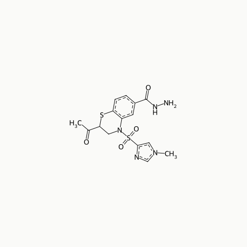 CC(=O)C1CN(S(=O)(=O)c2cn(C)cn2)c2cc(C(=O)NN)ccc2S1